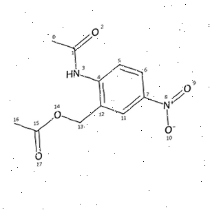 CC(=O)Nc1ccc([N+](=O)[O-])cc1COC(C)=O